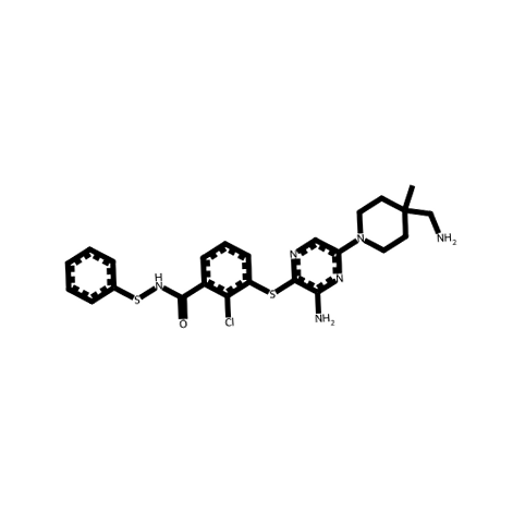 CC1(CN)CCN(c2cnc(Sc3cccc(C(=O)NSc4ccccc4)c3Cl)c(N)n2)CC1